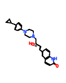 O=c1ccc2cc(C=C[C@H](O)CN3CCN(c4ccc(C5CC5)cc4)CC3)ccc2[nH]1